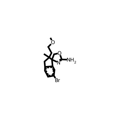 COCCC1(C)Cc2ccc(Br)cc2C12COC(N)=N2